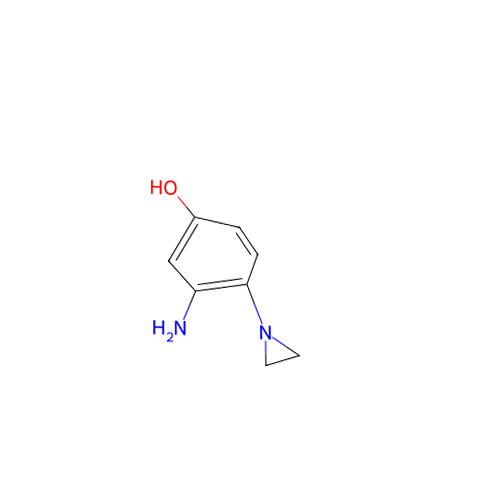 Nc1cc(O)ccc1N1CC1